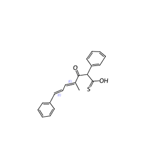 C/C(=C\C=C\c1ccccc1)C(=O)C(C(O)=S)c1ccccc1